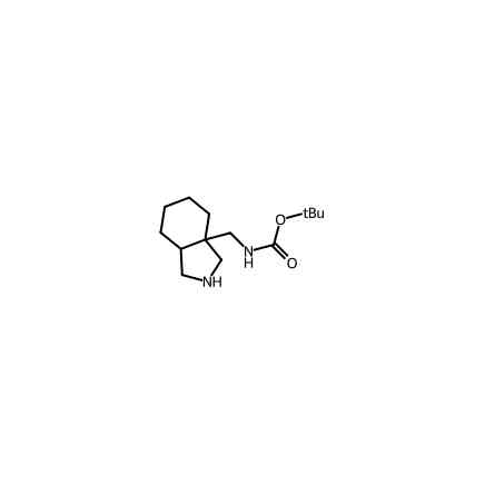 CC(C)(C)OC(=O)NCC12CCCCC1CNC2